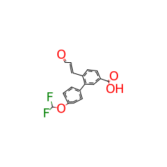 O=CC=Cc1ccc(C(=O)O)cc1-c1ccc(OC(F)F)cc1